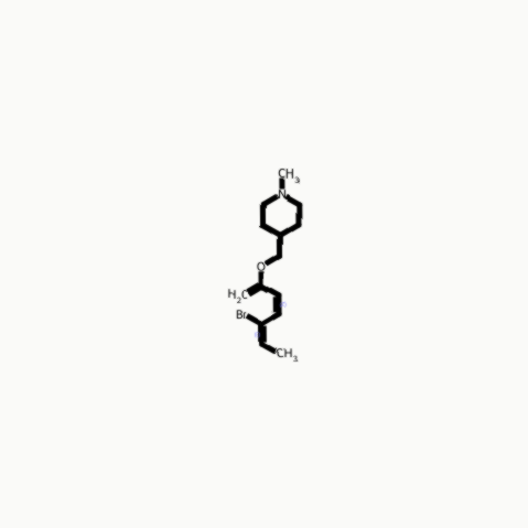 C=C(/C=C\C(Br)=C/C)OCC1CCN(C)CC1